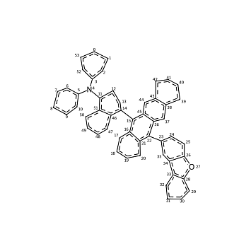 c1ccc(N(c2ccccc2)c2ccc(-c3c4ccccc4c(-c4ccc5oc6ccccc6c5c4)c4cc5ccccc5cc34)c3ccccc23)cc1